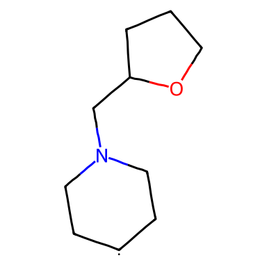 [CH]1CCN(CC2CCCO2)CC1